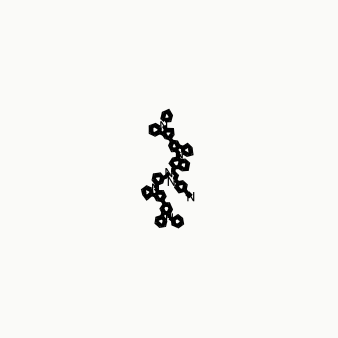 N#Cc1ccc(-c2cc(-c3ccc(-n4c5ccccc5c5cc(-c6ccc7c(c6)c6ccccc6n7-c6ccccc6)ccc54)c4ccccc34)nc(-c3cccc(-n4c5ccccc5c5cc(-c6ccc7c(c6)c6ccccc6n7-c6ccccc6)ccc54)c3)n2)cc1